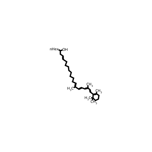 CCCCCCC(O)CC=CCCCCCCC[CH]C=C(C)C=CC=C(C)C=CC1=C(C)CCCC1(C)C